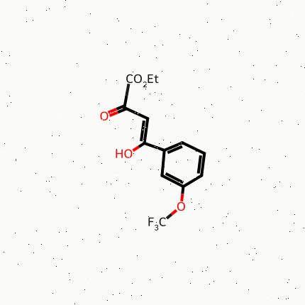 CCOC(=O)C(=O)C=C(O)c1cccc(OC(F)(F)F)c1